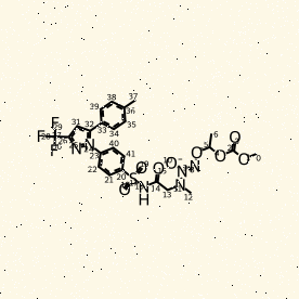 COC(=O)OC(C)ON=[N+]([O-])N(C)CC(=O)NS(=O)(=O)c1ccc(-n2nc(C(F)(F)F)cc2-c2ccc(C)cc2)cc1